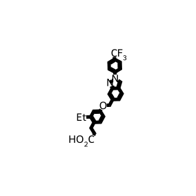 CCc1cc(OCc2ccc3cn(-c4ccc(C(F)(F)F)cc4)nc3c2)ccc1CCC(=O)O